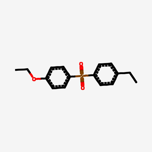 CCOc1ccc(S(=O)(=O)c2ccc(CC)cc2)cc1